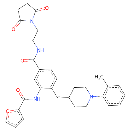 Cc1ccccc1N1CCC(=Cc2ccc(C(=O)NCCN3C(=O)CCC3=O)cc2NC(=O)c2ccco2)CC1